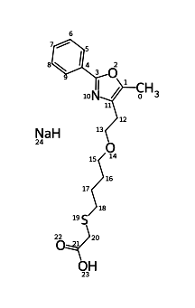 Cc1oc(-c2ccccc2)nc1CCOCCCCSCC(=O)O.[NaH]